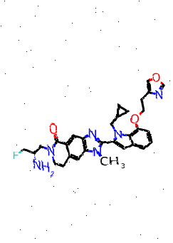 Cn1c(-c2cc3cccc(OCCc4cocn4)c3n2CC2CC2)nc2cc3c(cc21)CCN(C[C@H](N)CF)C3=O